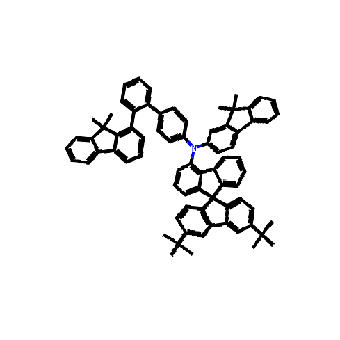 CC(C)(C)c1ccc2c(c1)-c1cc(C(C)(C)C)ccc1C21c2ccccc2-c2c(N(c3ccc(-c4ccccc4-c4cccc5c4C(C)(C)c4ccccc4-5)cc3)c3ccc4c(c3)C(C)(C)c3ccccc3-4)cccc21